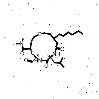 CCCCCCC1CCCCCC(C(=O)N(C)C)C[C@H](C=O)NC(=O)[C@H](CC(C)C)NC(=O)C1